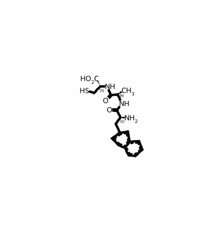 C[C@@H](NC(=O)[C@@H](N)Cc1ccc2ccccc2c1)C(=O)N[C@H](CS)C(=O)O